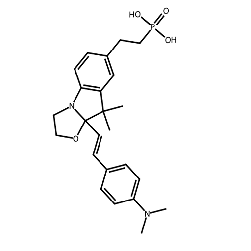 CN(C)c1ccc(C=CC23OCCN2c2ccc(CCP(=O)(O)O)cc2C3(C)C)cc1